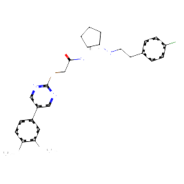 COc1ccc(-c2cnc(SCC(=O)N[C@@H]3CCC[C@H]3NCCc3ccc(Cl)cc3)nc2)cc1OC